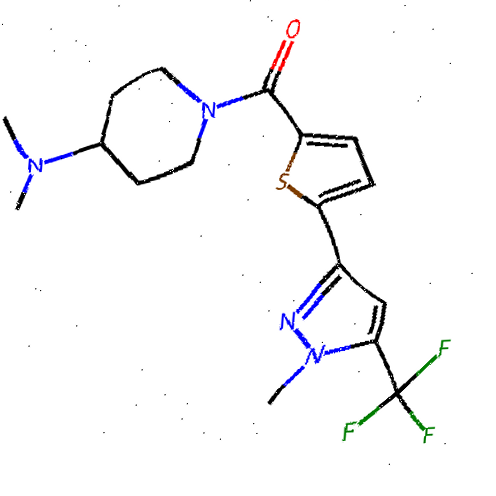 CN(C)C1CCN(C(=O)c2ccc(-c3cc(C(F)(F)F)n(C)n3)s2)CC1